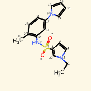 CCn1ccc(S(=O)(=O)Nc2cc(-n3cccc3)ccc2C)c1